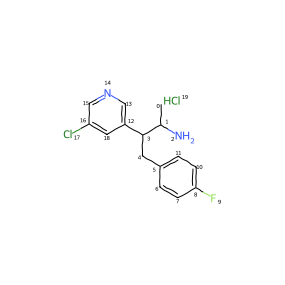 CC(N)C(Cc1ccc(F)cc1)c1cncc(Cl)c1.Cl